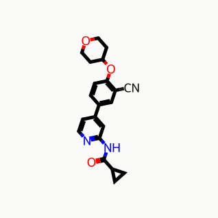 N#Cc1cc(-c2ccnc(NC(=O)C3CC3)c2)ccc1OC1CCOCC1